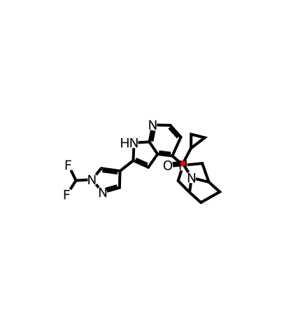 O=C(C1CC1)N1C2CCC1CN(c1ccnc3[nH]c(-c4cnn(C(F)F)c4)cc13)C2